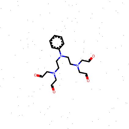 O=CCN(CC=O)CCN(CCN(CC=O)CC=O)c1ccccc1